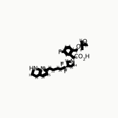 CC1(OCc2ccc(F)cc2[C@@H](C(=O)O)N2CC[C@@H](C(F)(F)CCCCc3ccc4c(n3)NCCC4)C2)COC1